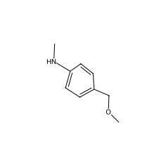 CNc1ccc(COC)cc1